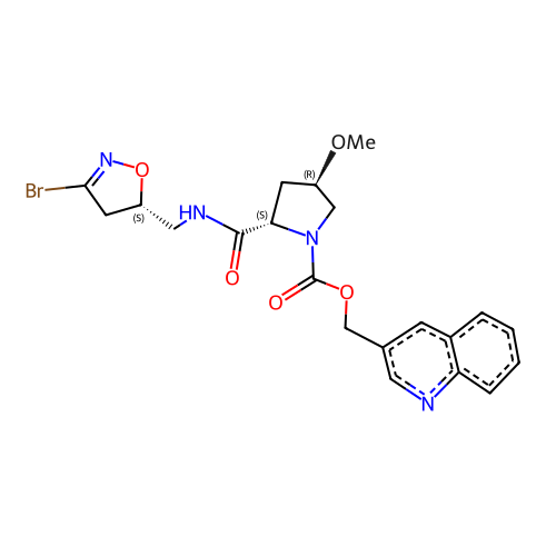 CO[C@@H]1C[C@@H](C(=O)NC[C@@H]2CC(Br)=NO2)N(C(=O)OCc2cnc3ccccc3c2)C1